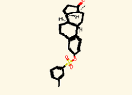 Cc1cccc(S(=O)(=O)Oc2ccc3c(c2)CC[C@@H]2[C@@H]3CC[C@]3(C)C(=O)CC[C@@H]23)c1